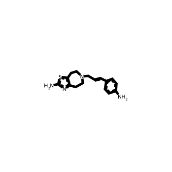 Nc1ccc(C=CCN2CCc3nc(N)sc3CC2)cc1